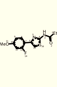 CCC(=O)Nc1nc(-c2ccc(OC)cc2F)cs1